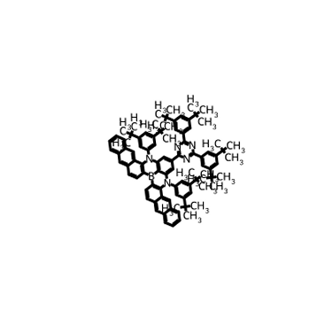 CC(C)(C)c1cc(-c2nc(-c3cc(C(C)(C)C)cc(C(C)(C)C)c3)nc(-c3cc4c5c(c3)N(c3cc(C(C)(C)C)cc(C(C)(C)C)c3)c3c(ccc6cc7ccccc7cc36)B5c3ccc5cc6ccccc6cc5c3N4c3cc(C(C)(C)C)cc(C(C)(C)C)c3)n2)cc(C(C)(C)C)c1